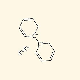 C1=CC[C-]([C-]2C=CC=CC2)C=C1.[K+].[K+]